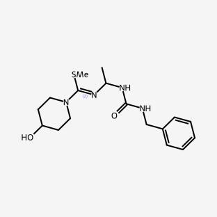 CS/C(=N\C(C)NC(=O)NCc1ccccc1)N1CCC(O)CC1